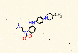 CN(C)CCn1c(=O)oc2ccc(Nc3ccc(N4CCC(C(F)(F)F)CC4)cc3)cc21